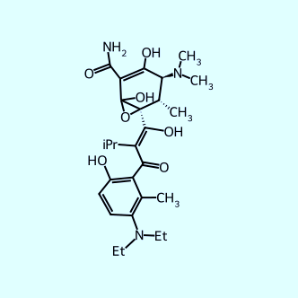 CCN(CC)c1ccc(O)c(C(=O)/C(=C(\O)[C@]23OC2(O)C(C(N)=O)=C(O)[C@@H](N(C)C)[C@@H]3C)C(C)C)c1C